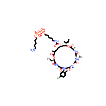 C/C=C(\C)[C@H]1OC(=O)[C@@H](C)NC(=O)[C@H]([C@H](C)CC)NC(=O)CN(C)C(=O)[C@@H](Cc2ccc(Cl)cc2)N(C)C(=O)[C@H](C)NC(=O)[C@@H](CC(C)C)OC(=O)/C(C)=C/C[C@H](OC(=O)NCCCCCOP(=O)(O)OP(=O)(O)OCCCCCN)[C@@H]1C